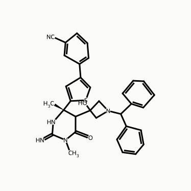 CN1C(=N)N[C@](C)(c2cc(-c3cccc(C#N)c3)cs2)C(C2(O)CN(C(c3ccccc3)c3ccccc3)C2)C1=O